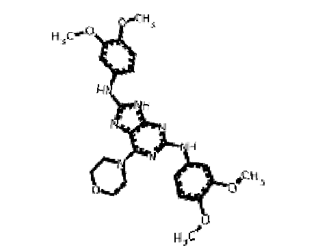 COc1ccc(Nc2nc(N3CCOCC3)c3nc(Nc4ccc(OC)c(OC)c4)[nH]c3n2)cc1OC